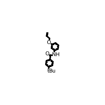 C=CCOc1cccc(NC(=O)c2ccc(C(C)(C)C)cc2)c1